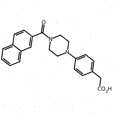 O=C(O)Cc1ccc(N2CCN(C(=O)c3ccc4ccccc4c3)CC2)cc1